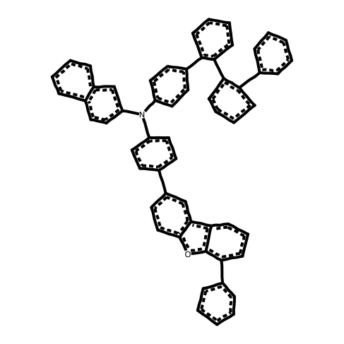 c1ccc(-c2ccccc2-c2ccccc2-c2ccc(N(c3ccc(-c4ccc5oc6c(-c7ccccc7)cccc6c5c4)cc3)c3ccc4ccccc4c3)cc2)cc1